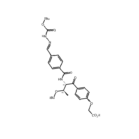 C[C@@H](OC(C)(C)C)[C@H](NC(=O)c1ccc(C=NNC(=O)OC(C)(C)C)cc1)C(=O)c1ccc(OCC(=O)O)cc1